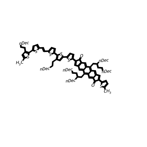 CCCCCCCCCCCCc1cc(C)sc1-c1ccc(/C=C/c2ccc(-c3sc(-c4ccc(-c5cc6cc7c(CC(CCCCCCCCCC)CCCCCCCCCCCC)c8cc9c(=O)c(-c%10ccc(C)s%10)cc9cc8c(CC(CCCCCCCCCC)CCCCCCCCCCCC)c7cc6c5=O)s4)cc3CCCCCCCCCCCC)s2)s1